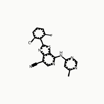 Cc1cc(Nc2ncc(C#N)c3nc(-c4c(F)cccc4Cl)sc23)ncn1